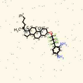 CC(C)CCC[C@@H](C)[C@H]1CCC2C3CCC4CC(OC(F)(F)C(F)(F)C(F)(F)c5ccc(N)cc5N)CC[C@]4(C)C3CC[C@@]21C